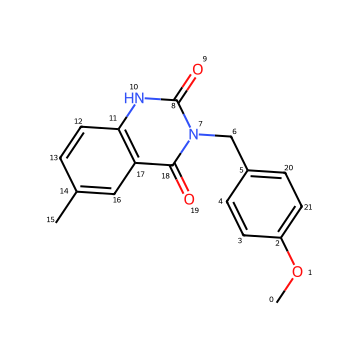 COc1ccc(Cn2c(=O)[nH]c3ccc(C)cc3c2=O)cc1